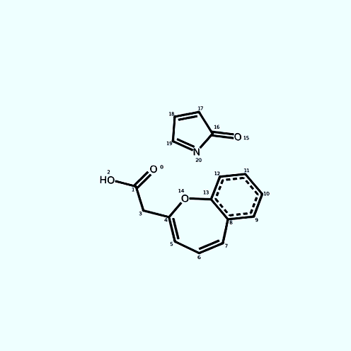 O=C(O)CC1=CC=Cc2ccccc2O1.O=C1C=CC=N1